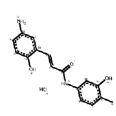 Cc1ccc(NC(=O)/C=C/c2cc(N)ccc2O)cc1O.Cl